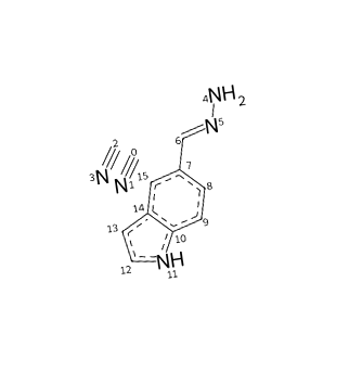 C#N.C#N.NN=Cc1ccc2[nH]ccc2c1